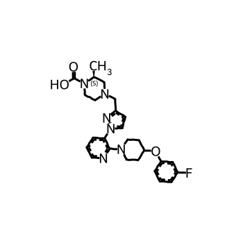 C[C@H]1CN(Cc2ccn(-c3cccnc3N3CCC(Oc4cccc(F)c4)CC3)n2)CCN1C(=O)O